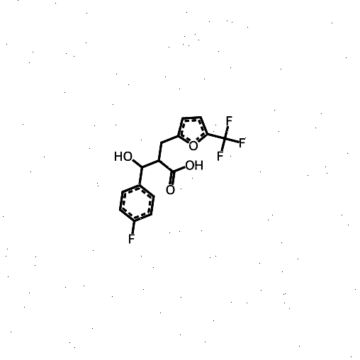 O=C(O)C(Cc1ccc(C(F)(F)F)o1)C(O)c1ccc(F)cc1